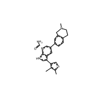 Cc1scc(-c2c[nH]c3ncc(-c4ccc5c(c4)CN(C)CC5)cc23)c1C.NC=O